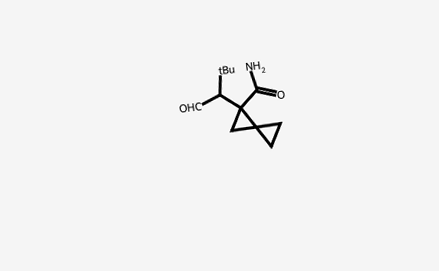 CC(C)(C)C(C=O)C1(C(N)=O)CC12CC2